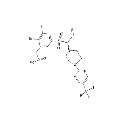 C=CC(N1CCN(c2ccc(C(F)(F)F)cn2)CC1)S(=O)(=O)c1cc(C)c(Br)c(CC(=O)O)c1